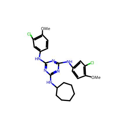 COc1ccc(Nc2nc(Nc3ccc(OC)c(Cl)c3)nc(NC3CCCCCC3)n2)cc1Cl